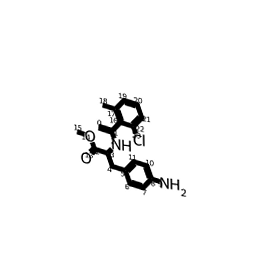 C=C(NC(Cc1ccc(N)cc1)C(=O)OC)c1c(C)cccc1Cl